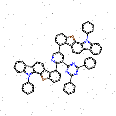 c1ccc(-c2nc(-c3ccccc3)nc(-c3cc(-c4cccc5sc6c(ccc7c8ccccc8n(-c8ccccc8)c76)c45)cnc3-c3cccc4sc5c(ccc6c7ccccc7n(-c7ccccc7)c65)c34)n2)cc1